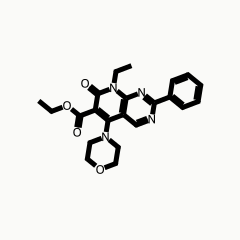 CCOC(=O)c1c(N2CCOCC2)c2cnc(-c3ccccc3)nc2n(CC)c1=O